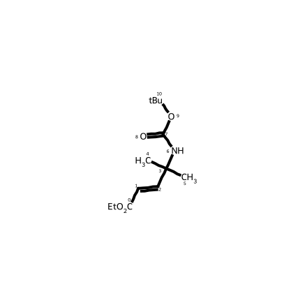 CCOC(=O)/C=C/C(C)(C)NC(=O)OC(C)(C)C